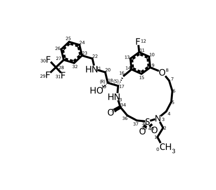 CCCN1CCCCOc2cc(F)cc(c2)C[C@@H]([C@H](O)CNCc2cccc(C(F)(F)F)c2)NC(=O)CCS1(=O)=O